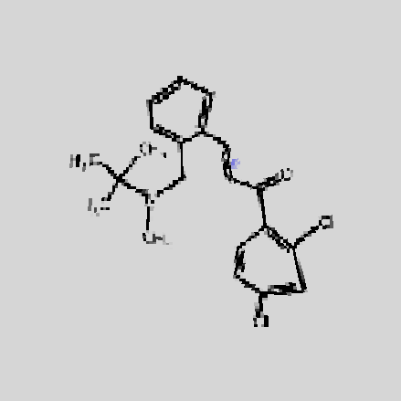 CN(Cc1ccccc1/C=C/C(=O)c1ccc(Cl)cc1Cl)C(C)(C)C